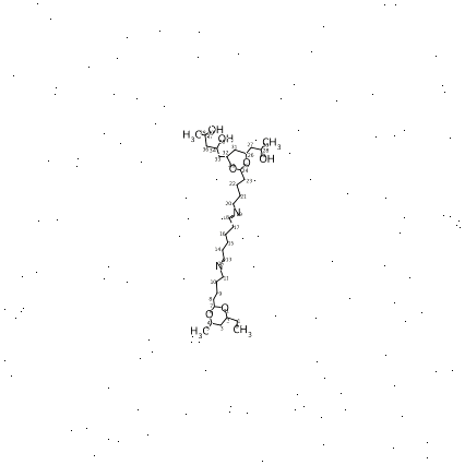 CCC1CC(C)OC(CCCC/N=C/CCCC/C=N/CCCCC2OC(CC(C)O)CC(CC(O)CC(C)O)O2)O1